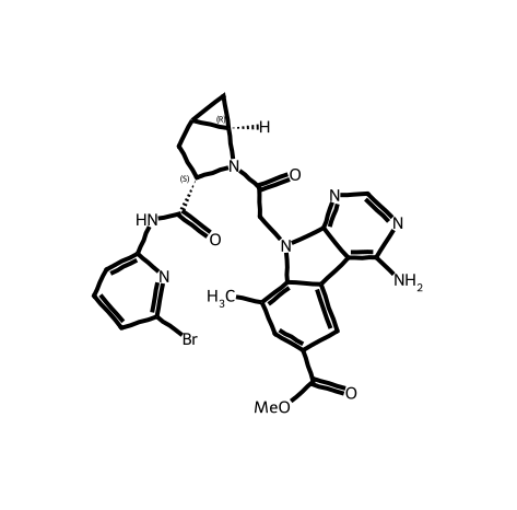 COC(=O)c1cc(C)c2c(c1)c1c(N)ncnc1n2CC(=O)N1[C@@H]2CC2C[C@H]1C(=O)Nc1cccc(Br)n1